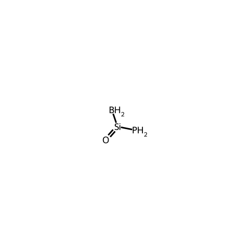 B[Si](=O)P